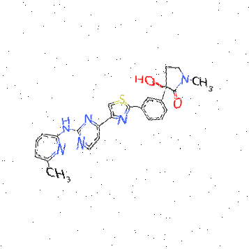 Cc1cccc(Nc2nccc(-c3csc(-c4cccc([C@]5(O)CCN(C)C5=O)c4)n3)n2)n1